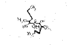 CCCC(C)C(O)P(=O)(O)C(O)C(C)CCC